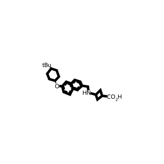 CC(C)(C)[C@H]1CC[C@H](Oc2ccc3cc(CNC4CC(C(=O)O)C4)ccc3c2)CC1